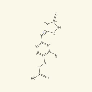 O=C(O)COc1ccc(/C=C2\CNC(=S)S2)cc1Cl